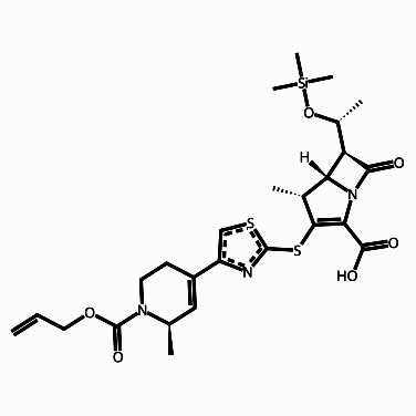 C=CCOC(=O)N1CCC(c2csc(SC3=C(C(=O)O)N4C(=O)[C@H]([C@@H](C)O[Si](C)(C)C)[C@H]4[C@H]3C)n2)=C[C@H]1C